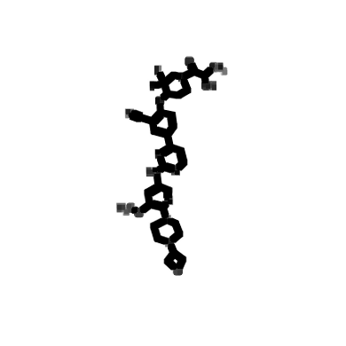 COc1cc(Nc2nccc(-c3ccc(OC4CCN(C(=O)C(C)O)CC4(F)F)c(C#N)c3)n2)cnc1N1CCN(C2COC2)CC1